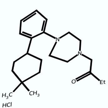 CCC(=O)CN1CCN(c2ccccc2C2CCC(C)(C)CC2)CC1.Cl